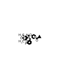 Cn1c(=O)c2c(nc(OC3CCN(C(=O)C4CC4)CC3)n2Cc2cccc(F)c2)n(C)c1=O